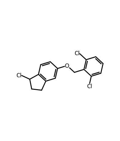 Clc1cccc(Cl)c1COc1ccc2c(c1)CCC2Cl